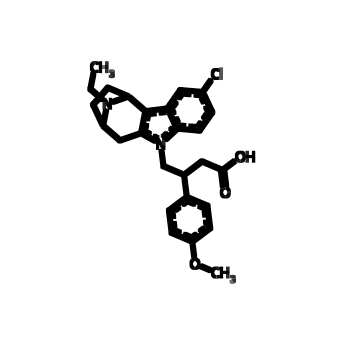 CCN1C2CCC1c1c(n(CC(CC(=O)O)c3ccc(OC)cc3)c3ccc(Cl)cc13)C2